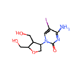 Nc1nc(=O)n(C2COC(CO)C2CO)cc1I